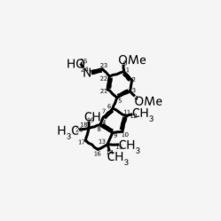 COc1cc(OC)c(-c2cc3c(cc2C)C(C)(C)CCC3(C)C)cc1C=NO